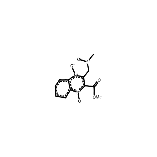 COC(=O)c1c(C[S+](C)[O-])[n+]([O-])c2ccccc2[n+]1[O-]